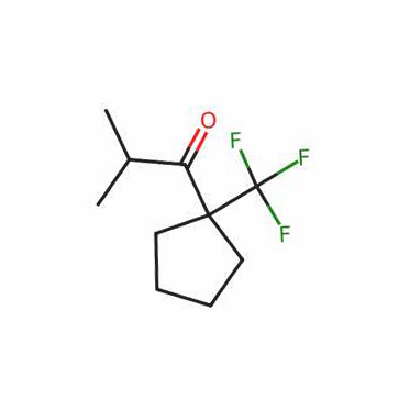 CC(C)C(=O)C1(C(F)(F)F)CCCC1